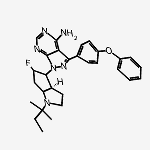 CCC(C)(C)N1CC[C@H]2C1CC(F)C2n1nc(-c2ccc(Oc3ccccc3)cc2)c2c(N)ncnc21